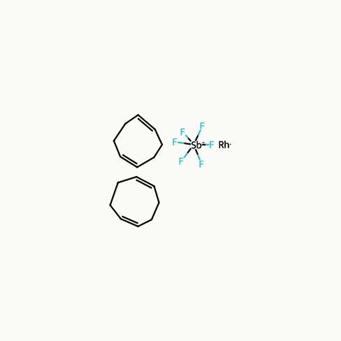 C1=C\CC/C=C\CC/1.C1=C\CC/C=C\CC/1.[F][Sb-]([F])([F])([F])([F])[F].[Rh]